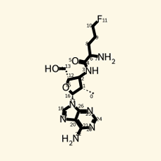 C[C@H]1C(NC(=O)C(N)CCCF)[C@@H](CO)O[C@H]1n1cnc2c(N)ncnc21